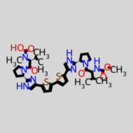 COC(=O)N[C@@H](C(=O)N1CCC[C@H]1c1nc(-c2ccc(-c3ccc(-c4c[nH]c([C@@H]5CCCN5C(=O)[C@@H](C(C)C)N(C)C(=O)O)n4)s3)s2)c[nH]1)C(C)C